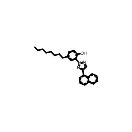 CCCCCCCCc1ccc(O)c(-n2ncc(-c3cccc4ccccc34)n2)c1